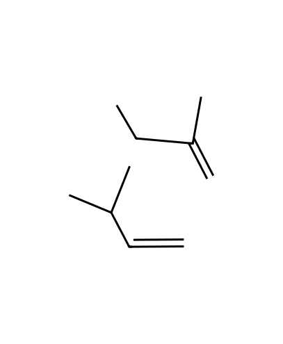 C=C(C)CC.C=CC(C)C